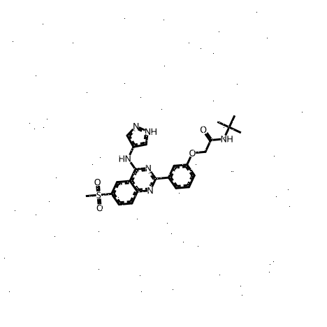 CC(C)(C)NC(=O)COc1cccc(-c2nc(Nc3cn[nH]c3)c3cc(S(C)(=O)=O)ccc3n2)c1